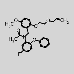 C=CCOCCOc1ccc(OC)cc1CN(C(C)=O)c1cc(F)ccc1Oc1ccccc1